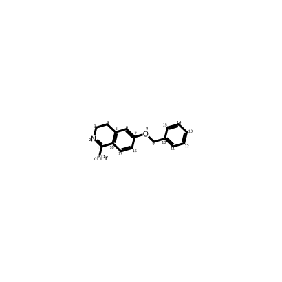 CCCC1=NCCc2cc(OCc3ccccc3)ccc21